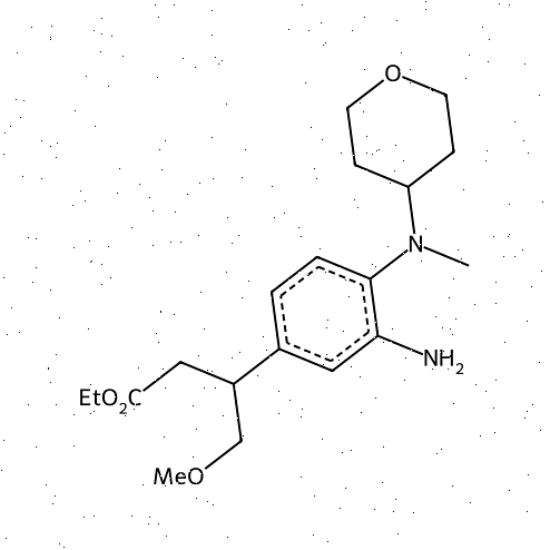 CCOC(=O)CC(COC)c1ccc(N(C)C2CCOCC2)c(N)c1